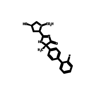 C[C@@]1(c2ccc(-c3ccccc3F)cc2)NC(C2C[C@@H](O)CN2C(=O)O)=NC1=O